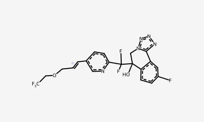 OC1(C(F)(F)c2ccc(/C=C/COCC(F)(F)F)cn2)Cn2nnnc2-c2cc(F)ccc21